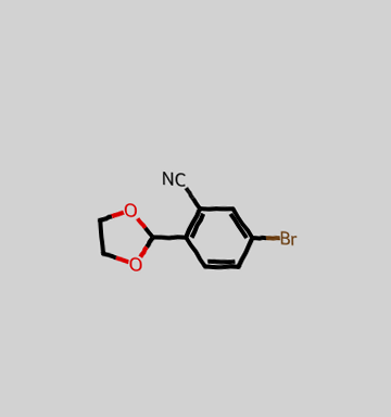 N#Cc1cc(Br)ccc1C1OCCO1